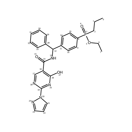 CCCP(=O)(OCC)c1ccc(C(NC(=O)c2cnc(-n3cccn3)nc2O)c2ccccc2)cc1